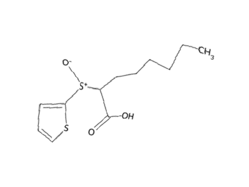 CCCCCCC(C(=O)O)[S+]([O-])c1cccs1